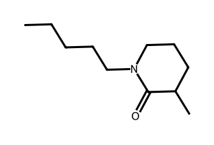 CCCCCN1CCCC(C)C1=O